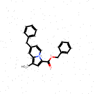 O=C(O)c1cc(C(=O)OCc2ccccc2)n2ccc(Cc3ccccc3)cc12